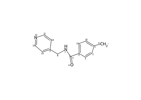 [CH2]c1ccc(C(=O)NCc2ccncc2)cc1